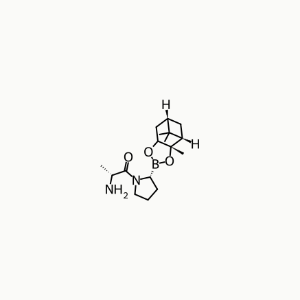 C[C@@H](N)C(=O)N1CCC[C@H]1B1OC2C[C@@H]3C[C@@H](C3(C)C)[C@]2(C)O1